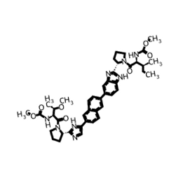 CC[C@H](C)[C@H](NC(=O)OC)C(=O)N1CCC[C@H]1c1nc2cc(-c3ccc4cc(-c5cnc([C@@H]6CCCN6C(=O)[C@@H](NC(=O)OC)[C@@H](C)OC)[nH]5)ccc4c3)ccc2[nH]1